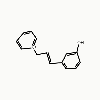 Oc1cccc(C=CC[n+]2ccccc2)c1